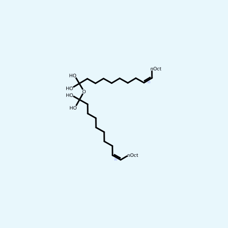 CCCCCCCC/C=C\CCCCCCCC(O)(O)OC(O)(O)CCCCCCC/C=C\CCCCCCCC